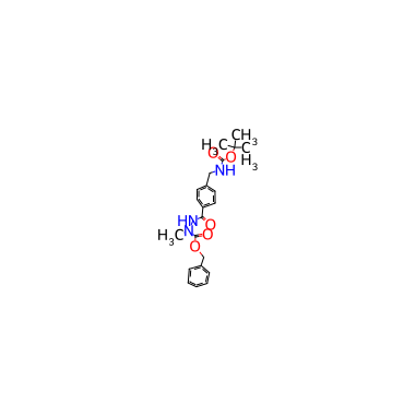 CN(NC(=O)c1ccc(CNC(=O)OC(C)(C)C)cc1)C(=O)OCc1ccccc1